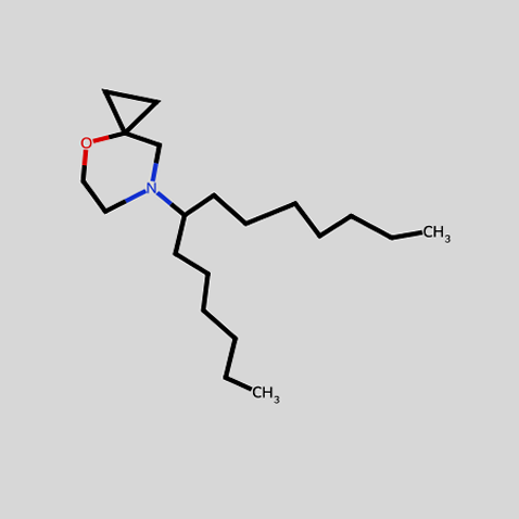 CCCCCCCC(CCCCCC)N1CCOC2(CC2)C1